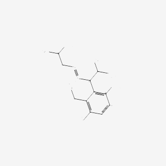 CC(C#N)CN=NC(c1c(C(=O)O)ccc(Cl)c1CBr)C(C)C#N